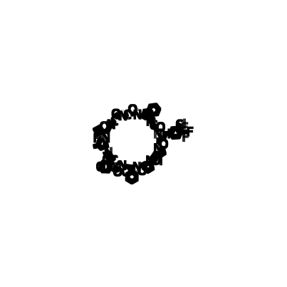 CC(C)C[C@H]1C(=O)N[C@@H](C2CCC2)C(=O)N(C)CC(=O)N(C)CC(=O)N(C)[C@@H](CC2CCCCC2)C(=O)N(C)CC(=O)N[C@@H](CCc2ccc(C(F)(F)F)c(Cl)c2)C(=O)N2CCC[C@H]2C(=O)NC2(CCCC2)C(=O)N(C)[C@@H](C2CCCCC2)C(=O)N(C)[C@H](C(=O)N2CCOCC2)CC(=O)N1C